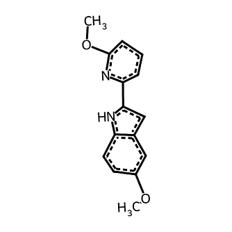 COc1ccc2[nH]c(-c3cccc(OC)n3)cc2c1